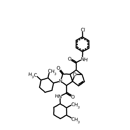 CC1CCCC(NC(=O)C2N(C3CCCC(C)C3C)C(=O)C3C(C(=O)Nc4ccc(Cl)cc4)C4C=CC32O4)C1C